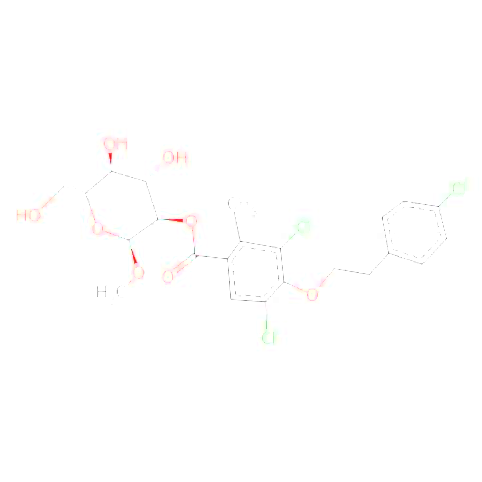 CO[C@H]1O[C@H](CO)[C@@H](O)[C@H](O)[C@H]1OC(=O)c1cc(Cl)c(OCCc2ccc(Cl)cc2)c(Cl)c1C